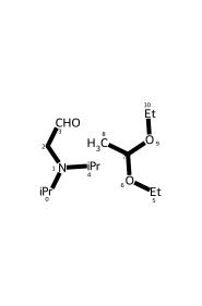 CC(C)N(CC=O)C(C)C.CCOC(C)OCC